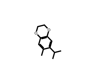 Cc1cc2c(cc1C(C)C)OCCO2